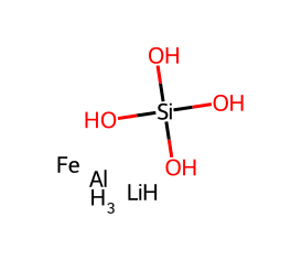 O[Si](O)(O)O.[AlH3].[Fe].[LiH]